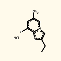 CCc1cn2cc(N)cc(F)c2n1.Cl